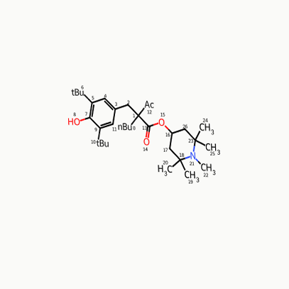 CCCCC(Cc1cc(C(C)(C)C)c(O)c(C(C)(C)C)c1)(C(C)=O)C(=O)OC1CC(C)(C)N(C)C(C)(C)C1